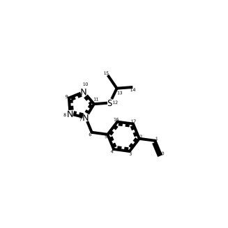 C=Cc1ccc(Cn2ncnc2SC(C)C)cc1